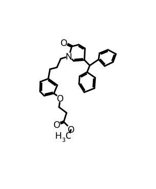 COC(=O)CCOc1cccc(CCCn2cc(C(c3ccccc3)c3ccccc3)ccc2=O)c1